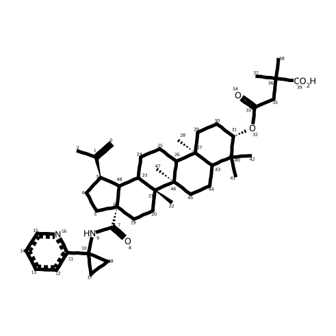 C=C(C)[C@@H]1CC[C@]2(C(=O)NC3(c4ccccn4)CC3)CC[C@]3(C)C(CCC4[C@@]5(C)CC[C@H](OC(=O)CC(C)(C)C(=O)O)C(C)(C)C5CC[C@]43C)C12